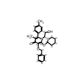 Cc1ccc(-c2c(C)c(=O)c(OCc3ccccc3)c(OC3CCCCO3)n2CCO)cc1